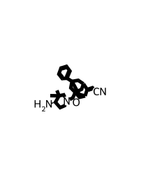 CC1(C)CN(C(=O)C23CC4CC(c5ccccc5)(CC(C2)C4=CC#N)C3)CC[C@@H]1N